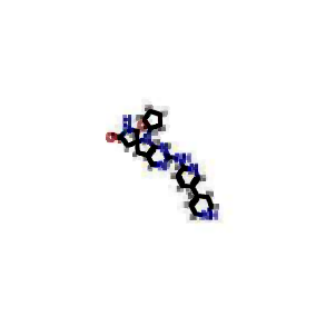 O=C1CC2(Cc3cnc(Nc4ccc(C5=CCNCC5)cn4)nc3N2C2CCCC2)C(=O)N1